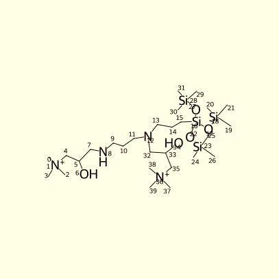 C[N+](C)(C)CC(O)CNCCCN(CCC[Si](O[Si](C)(C)C)(O[Si](C)(C)C)O[Si](C)(C)C)CC(O)C[N+](C)(C)C